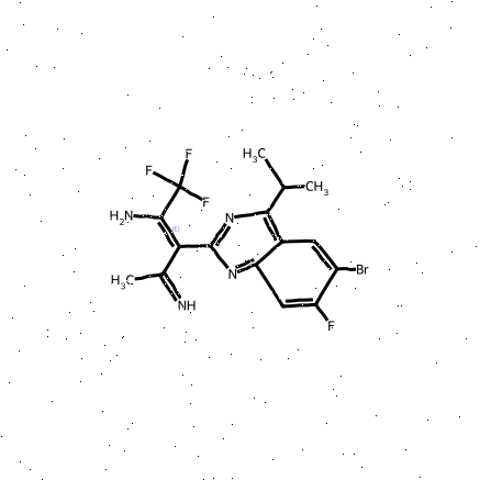 CC(=N)/C(=C(\N)C(F)(F)F)c1nc(C(C)C)c2cc(Br)c(F)cc2n1